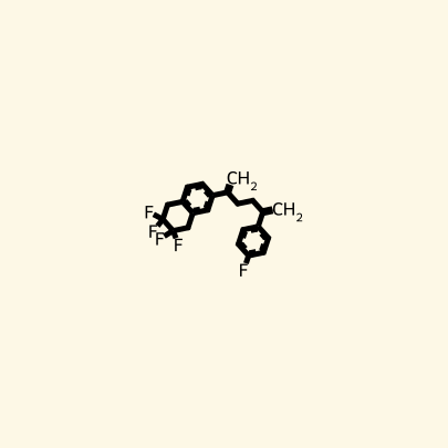 C=C(CCC(=C)c1ccc2c(c1)CC(F)(F)C(F)(F)C2)c1ccc(F)cc1